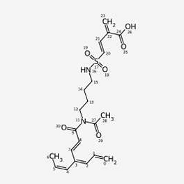 C=C/C=C(/C=C\C)\C=C\C(=O)N(CCCCNS(=O)(=O)/C=C/C(=C)C(=O)O)C(C)=O